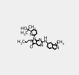 C=CCn1c(=O)c2cnc(Nc3ccc4cnn(C)c4c3)nc2n1-c1cccc(C(C)(C)O)n1